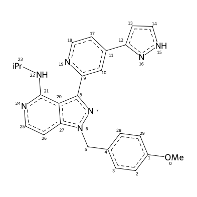 COc1ccc(Cn2nc(-c3cc(-c4cc[nH]n4)ccn3)c3c(NC(C)C)nccc32)cc1